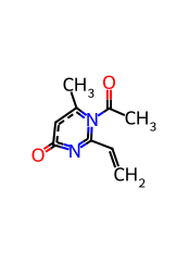 C=Cc1nc(=O)cc(C)n1C(C)=O